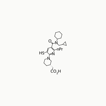 CCCc1nc(N2CCC[C@@H](CC(=O)O)C2)c(S)cc1C(=O)N(CC1CC1)C1CCCCC1